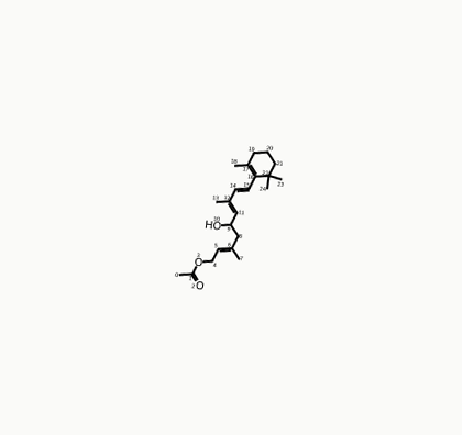 CC(=O)OCC=C(C)CC(O)C=C(C)C=CC1=C(C)CCCC1(C)C